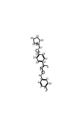 C/C(=N\OCc1ccc(C)cc1)c1ccc(OCN2CCCC2)cc1